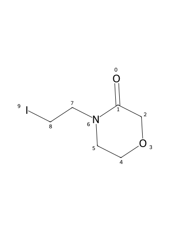 O=C1COCCN1CCI